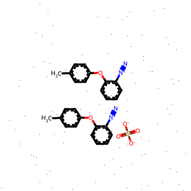 Cc1ccc(Oc2ccccc2[N+]#N)cc1.Cc1ccc(Oc2ccccc2[N+]#N)cc1.O=S(=O)([O-])[O-]